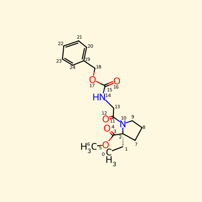 CC[C@@]1(C(=O)OC)CCCN1C(=O)CNC(=O)OCc1ccccc1